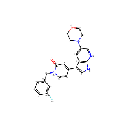 O=c1cc(-c2c[nH]c3ncc(N4CCOCC4)cc23)ccn1Cc1cccc(F)c1